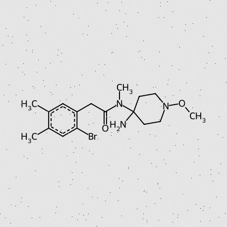 CON1CCC(N)(N(C)C(=O)Cc2cc(C)c(C)cc2Br)CC1